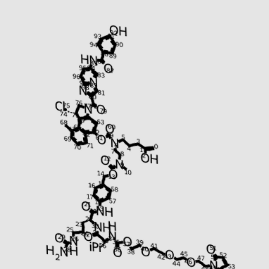 C=C(O)CCCN(CCN(C)C(=O)OCc1ccc(NC(=O)[C@H](CCCNC(N)=O)NC(=O)[C@@H](NC(=O)OCCOCCOCCOCCN2C(=O)C=CC2=O)C(C)C)cc1)C(=O)Oc1cc2c(c3c(C)cccc13)[C@H](CCl)CN2C(=O)c1cn2cc(NC(=O)c3ccc(O)cc3)ccc2n1